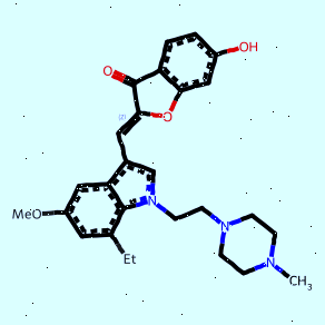 CCc1cc(OC)cc2c(/C=C3\Oc4cc(O)ccc4C3=O)cn(CCN3CCN(C)CC3)c12